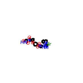 O=C1CCC(N2Cc3c(OC4CCCC(S(=O)(=O)N5CCC(Nc6ncc(Br)c(N7CCCc8ccccc87)n6)CC5)CCC4)cccc3C2=O)C(=O)N1